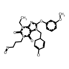 CCn1c(=O)n(CCCN=O)c(=O)c2c1nc(Oc1cccc(OC)c1)n2CC1C=CC(Cl)=CC1